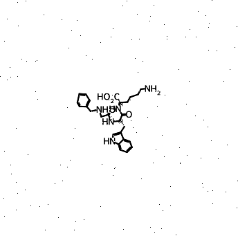 NCCCC[C@H](NC(=O)[C@H](Cc1c[nH]c2ccccc12)NC(=O)CNCc1ccccc1)C(=O)O